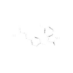 CC(O)NCc1ccc(Cn2c(=O)[nH]c3ccc(F)cc32)cc1